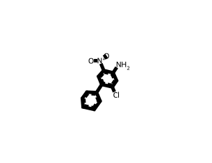 Nc1cc(Cl)c(-c2ccccc2)cc1[N+](=O)[O-]